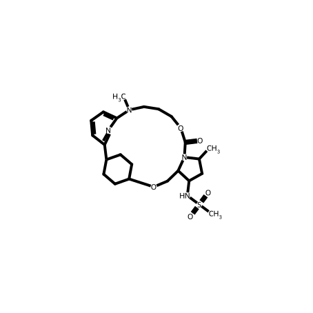 CC1CC(NS(C)(=O)=O)C2COC3CCC(CC3)c3cccc(n3)N(C)CCCOC(=O)N12